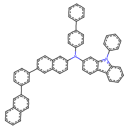 c1ccc(-c2ccc(N(c3ccc4cc(-c5cccc(-c6ccc7ccccc7c6)c5)ccc4c3)c3ccc4c5ccccc5n(-c5ccccc5)c4c3)cc2)cc1